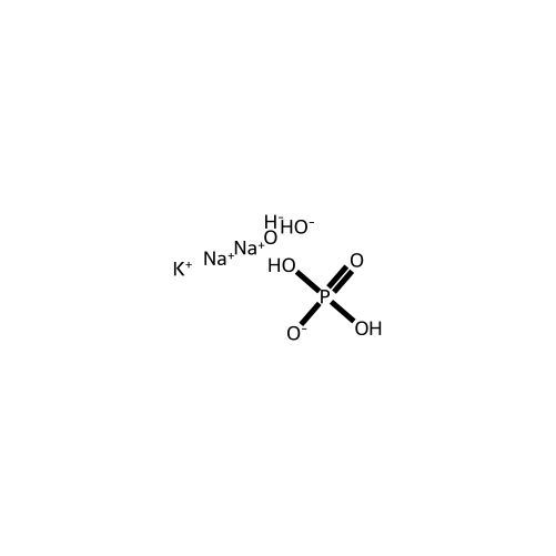 O=P([O-])(O)O.[K+].[Na+].[Na+].[OH-].[OH-]